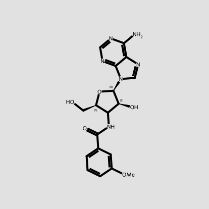 COc1cccc(C(=O)NC2[C@@H](CO)O[C@@H](n3cnc4c(N)ncnc43)[C@H]2O)c1